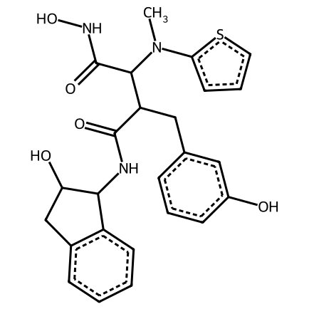 CN(c1cccs1)C(C(=O)NO)C(Cc1cccc(O)c1)C(=O)NC1c2ccccc2CC1O